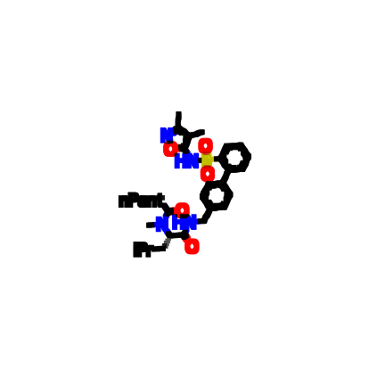 CCCCCC(=O)N(C)[C@@H](CC(C)C)C(=O)NCc1ccc(-c2ccccc2S(=O)(=O)Nc2onc(C)c2C)cc1